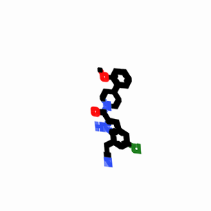 COc1ccccc1C1CCN(C(=O)c2cc3cc(Cl)cc(CC#N)c3[nH]2)CC1